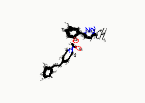 Cc1ccc(-c2ccccc2OCC(=O)N2CCC(CCc3ccccc3)CC2)nn1